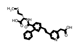 CSCC[C@H](NC(=O)c1ccc(C=Cc2cncc(CC(=O)O)c2)cc1-c1ccccc1)C(=O)O